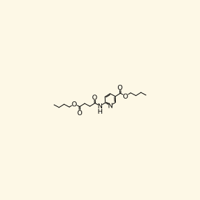 CCCCOC(=O)CCC(=O)Nc1ccc(C(=O)OCCCC)cn1